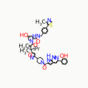 Cc1ncsc1-c1ccc(CNC(=O)[C@@H]2C[C@@H](O)CN2C(=O)[C@H](C)C(C)(c2cc(C3CCN(C(=O)c4cc5cc(-c6ccccc6O)nnc5[nH]4)CC3)no2)C(C)C)cc1